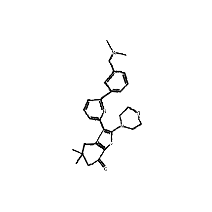 CN(C)Cc1cccc(-c2cccc(-c3c(N4CCOCC4)sc4c3CC(C)(C)CC4=O)n2)c1